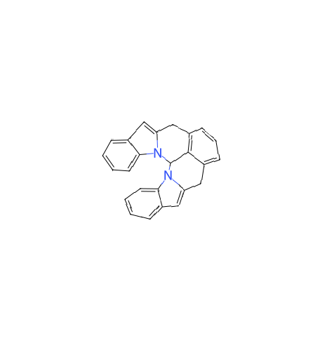 c1cc2c3c(c1)Cc1cc4ccccc4n1C3n1c(cc3ccccc31)C2